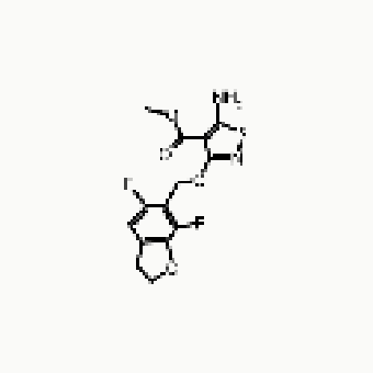 COC(=O)c1c(OCc2c(F)cc3c(c2F)OCC3)nsc1N